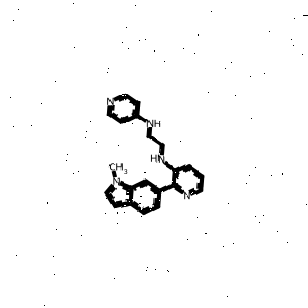 Cn1ccc2ccc(-c3ncccc3NCCNc3ccncc3)cc21